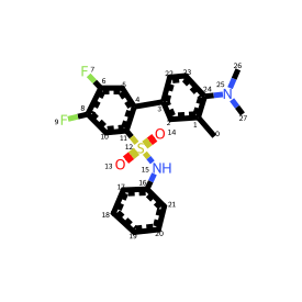 Cc1cc(-c2cc(F)c(F)cc2S(=O)(=O)Nc2ccccc2)ccc1N(C)C